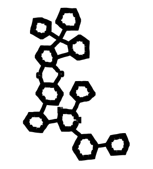 c1ccc(-c2cccc(-c3cc(-c4ccccc4-c4ccc5c(c4)Oc4ccc6c(c4O5)-c4ccccc4C6(c4ccccc4)c4ccccc4)nc(-c4ccccc4)n3)c2)cc1